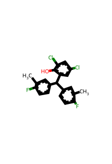 Cc1cc(C(c2ccc(F)c(C)c2)c2cc(Cl)cc(Cl)c2O)ccc1F